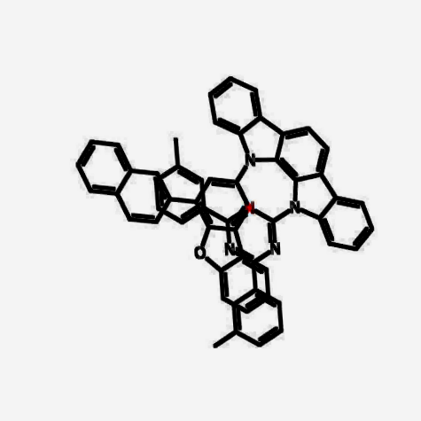 Cc1cccc(-c2nc(-c3cccc(C)c3)nc(-n3c4ccccc4c4ccc5c6ccccc6n(-c6cc(-c7ccc8ccccc8c7)c7oc8ccccc8c7c6)c5c43)n2)c1